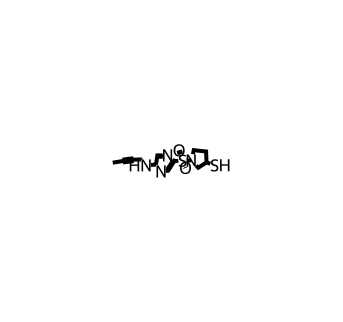 CC#CCNc1cnc(S(=O)(=O)N2CCC(S)C2)cn1